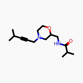 CC(C)C#CCN1CCOC(CNC(=O)C(C)C)C1